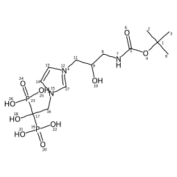 CC(C)(C)OC(=O)NCC(O)C[n+]1ccn(CC(O)(P(=O)(O)O)P(=O)(O)O)c1